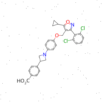 O=C(O)c1ccc(C2CN(c3ccc(OCc4c(-c5c(Cl)cccc5Cl)noc4C4CC4)cc3)C2)cc1